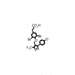 O=C(O)CCc1cc(Br)c(OCc2c(-c3ccc(Cl)cc3)nsc2C(F)(F)F)c(Br)c1